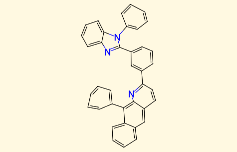 c1ccc(-c2c3ccccc3cc3ccc(-c4cccc(-c5nc6ccccc6n5-c5ccccc5)c4)nc23)cc1